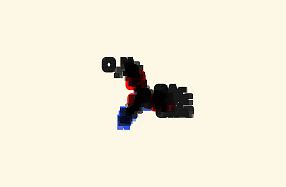 COC(=O)[C@H]1O[C@@H](Oc2ccc(COC(=O)Oc3ccc([N+](=O)[O-])cc3)cc2NC(=O)CCCN=[N+]=[N-])C[C@@H](OC(C)=O)[C@@H]1OC(C)=O